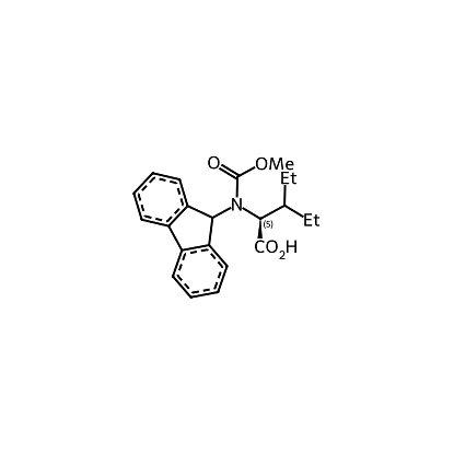 CCC(CC)[C@@H](C(=O)O)N(C(=O)OC)C1c2ccccc2-c2ccccc21